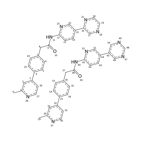 Cc1cc(-c2ccc(CC(=O)Nc3ccc(-c4cnccn4)cn3)cc2)ccn1.Cc1cc(-c2ccc(CC(=O)Nc3ccc(-c4cncnc4)cn3)cc2)ccn1